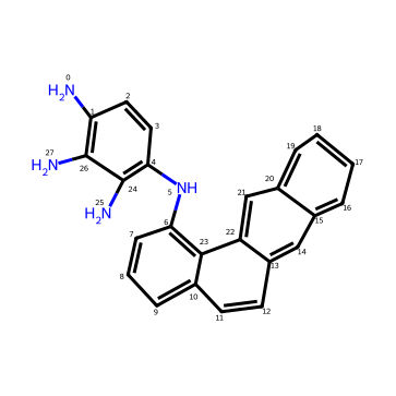 Nc1ccc(Nc2cccc3ccc4cc5ccccc5cc4c23)c(N)c1N